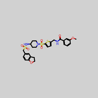 COc1cccc(C(=O)NCc2ccc(S(=O)(=O)N3CCC(NS(=O)(=O)Cc4ccc5c(c4)CCO5)CC3)s2)c1